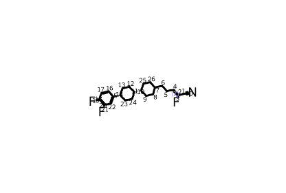 N#C/C(F)=C/CCC1CCC([C@H]2CC[C@H](c3ccc(F)c(F)c3)CC2)CC1